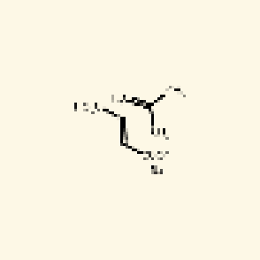 C=C(C)C.O=C([O-])C=CC(=O)O.[Na+]